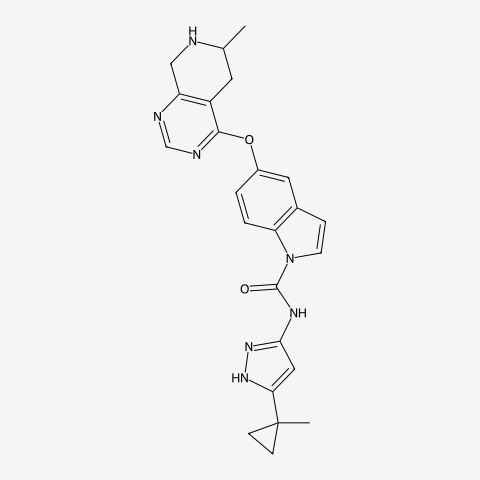 CC1Cc2c(ncnc2Oc2ccc3c(ccn3C(=O)Nc3cc(C4(C)CC4)[nH]n3)c2)CN1